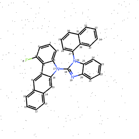 Fc1cccc2c1c1cc3ccccc3cc1n2-c1nc2ccccc2n1-c1cccc2ccccc12